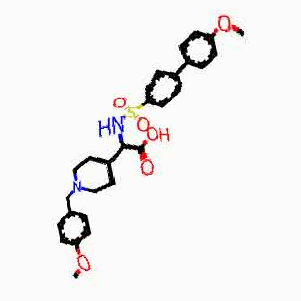 COc1ccc(CN2CCC(C(NS(=O)(=O)c3ccc(-c4ccc(OC)cc4)cc3)C(=O)O)CC2)cc1